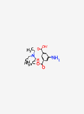 CCN(CC)CC.Nc1cc(C(=O)O)cc(C(=O)O)c1